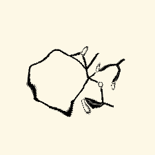 CC(=O)OC1(OC(C)=O)CCCCCCCCCC2OC21C